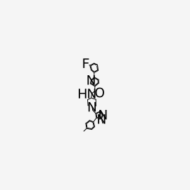 Cc1ccc(-c2c(CN3CCC(NC(=O)c4ccc(-c5cccc(F)c5)nc4)CC3)cnn2C)cc1